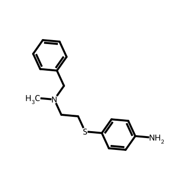 CN(CCSc1ccc(N)cc1)Cc1ccccc1